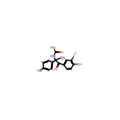 CC(NC(=O)O)(C(=O)c1ccc(Cl)c(F)c1)c1ccc(Cl)cc1